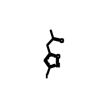 CC(=O)Cc1cc(I)no1